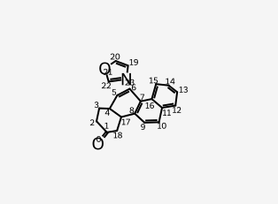 O=C1CCC2C=Cc3c(ccc4ccccc34)C2C1.c1cocn1